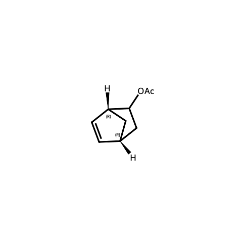 CC(=O)OC1C[C@@H]2C=C[C@H]1C2